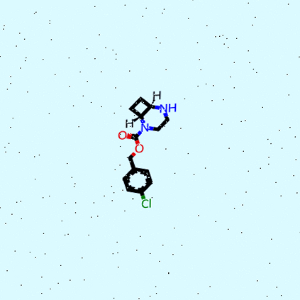 O=C(OCc1ccc(Cl)cc1)N1CCN[C@@H]2CC[C@H]21